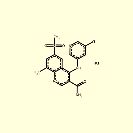 Cc1cc(S(C)(=O)=O)cc2c(Nc3cncc(Cl)c3)c(C(N)=O)cnc12.Cl